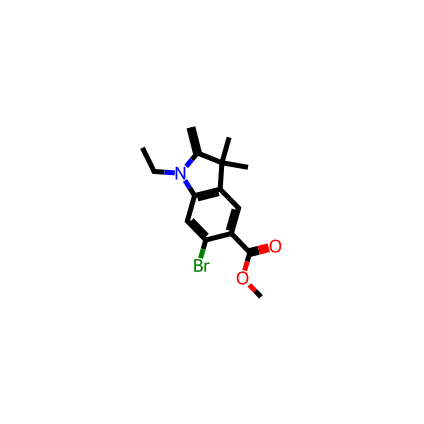 C=C1N(CC)c2cc(Br)c(C(=O)OC)cc2C1(C)C